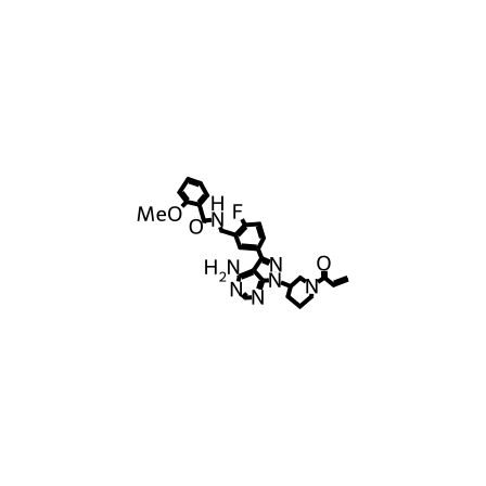 C=CC(=O)N1CCCC(n2nc(-c3ccc(F)c(CNC(=O)c4ccccc4OC)c3)c3c(N)ncnc32)C1